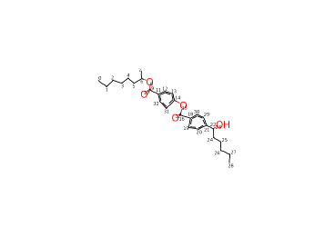 CCCCCCC(C)OC(=O)c1ccc(OC(=O)c2ccc(C(O)CCCCC)cc2)cc1